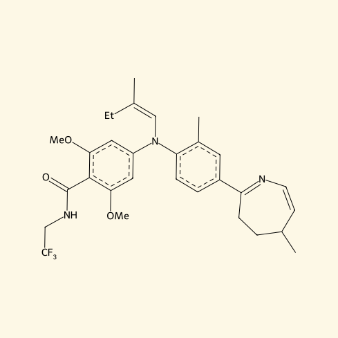 CC/C(C)=C\N(c1cc(OC)c(C(=O)NCC(F)(F)F)c(OC)c1)c1ccc(C2=NC=CC(C)CC2)cc1C